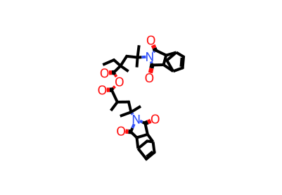 CCC(C)(CC(C)(C)N1C(=O)C2C3C=CC(C3)C2C1=O)C(=O)OC(=O)C(C)CC(C)(C)N1C(=O)C2C3C=CC(C3)C2C1=O